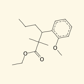 CCCC(c1ccccc1OC)C(C)(C)C(=O)OCC